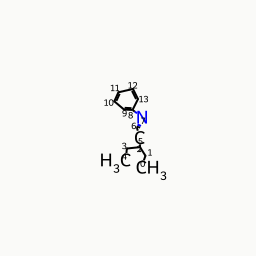 CC[C](CC)CC=Nc1ccccc1